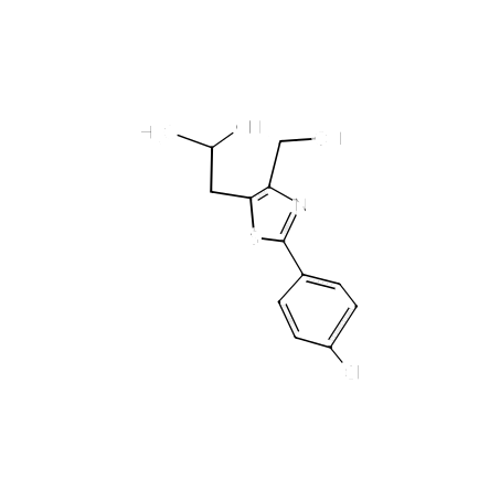 CC(C)Cc1sc(-c2ccc(Cl)cc2)nc1CO